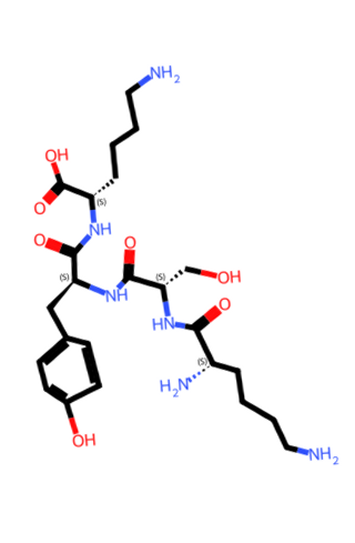 NCCCC[C@H](NC(=O)[C@H](Cc1ccc(O)cc1)NC(=O)[C@H](CO)NC(=O)[C@@H](N)CCCCN)C(=O)O